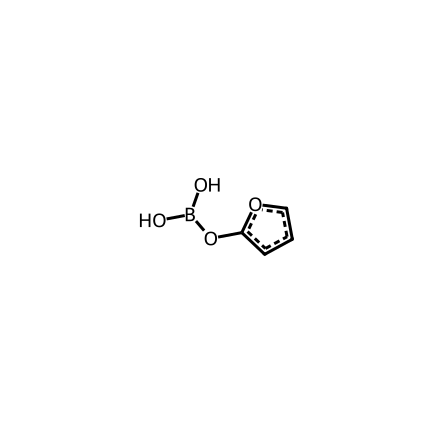 OB(O)Oc1ccco1